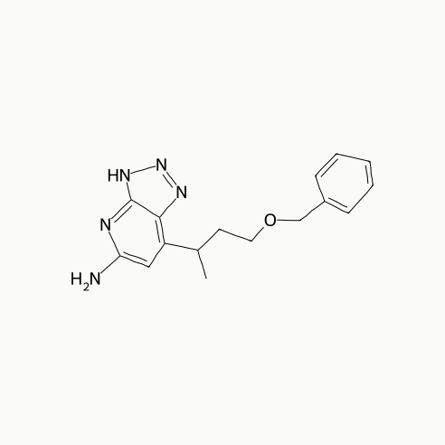 CC(CCOCc1ccccc1)c1cc(N)nc2[nH]nnc12